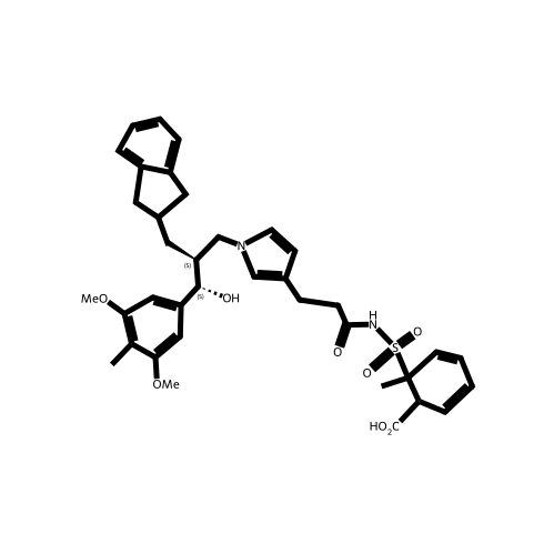 COc1cc([C@@H](O)[C@@H](CC2Cc3ccccc3C2)Cn2ccc(CCC(=O)NS(=O)(=O)C3(C)C=CC=CC3C(=O)O)c2)cc(OC)c1C